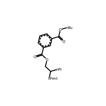 CCCCCC(CCC)COC(=O)c1cccc(C(=O)OCCCC)c1